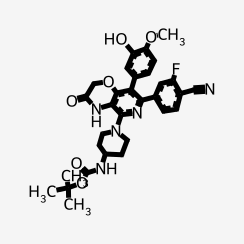 COc1ccc(-c2c(-c3ccc(C#N)c(F)c3)nc(N3CCC(NC(=O)OC(C)(C)C)CC3)c3c2OCC(=O)N3)cc1O